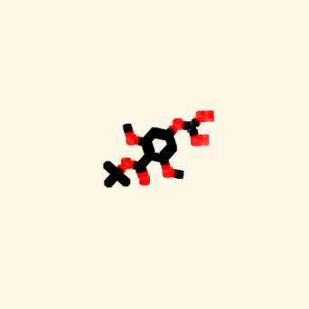 COc1cc(OB(O)O)cc(OC)c1C(=O)OC(C)(C)C